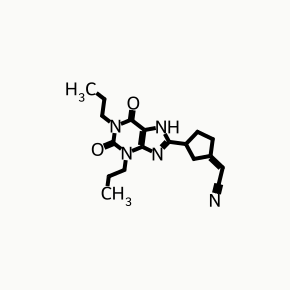 CCCn1c(=O)c2[nH]c(C3CCC(=CC#N)C3)nc2n(CCC)c1=O